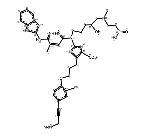 CNCC#Cc1ccc(OCCCc2sc(N(CCCC(O)CN(C)CC[PH](=O)O)C(=N)/C=C(/C)C(=N)Nc3nc4ccccc4s3)nc2C(=O)O)c(F)c1